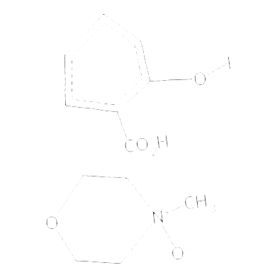 C[N+]1([O-])CCOCC1.O=C(O)c1ccccc1OI